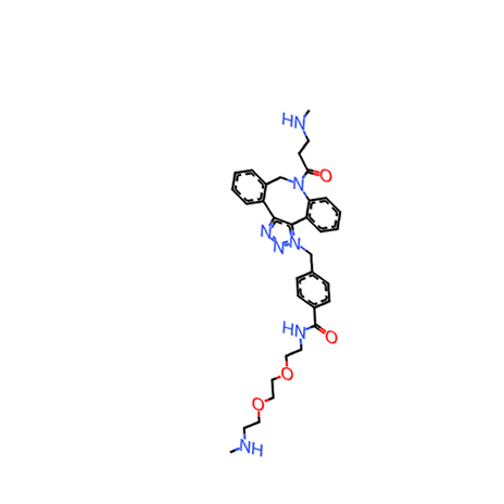 CNCCOCCOCCNC(=O)c1ccc(Cn2nnc3c2-c2ccccc2N(C(=O)CCNC)Cc2ccccc2-3)cc1